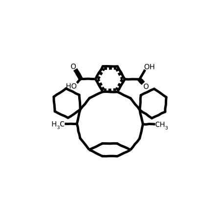 CC1CC2CCC(CC2)CC(C)C2(CCCCC2)Cc2c(C(=O)O)ccc(C(=O)O)c2CC12CCCCC2